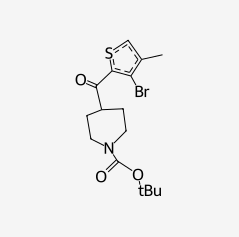 Cc1csc(C(=O)C2CCN(C(=O)OC(C)(C)C)CC2)c1Br